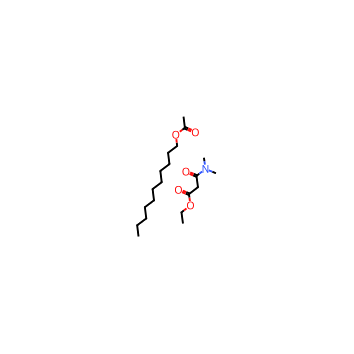 CCCCCCCCCCCOC(C)=O.CCOC(=O)CC(=O)N(C)C